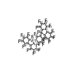 Fc1[c]c(C2(F)c3c(F)c(F)c(F)c(F)c3-c3c(F)c(F)c(F)c(F)c32)c(F)c(C2(F)c3c(F)c(F)c(F)c(F)c3-c3c(F)c(F)c(F)c(F)c32)c1F